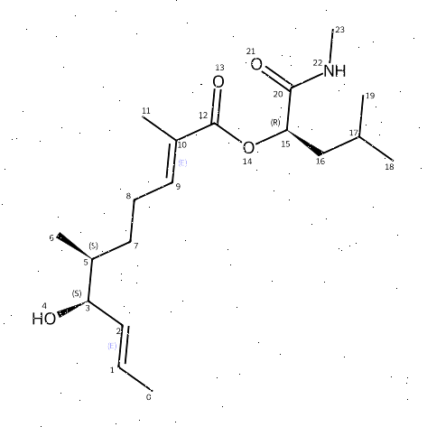 C/C=C/[C@@H](O)[C@@H](C)CC/C=C(\C)C(=O)O[C@H](CC(C)C)C(=O)NC